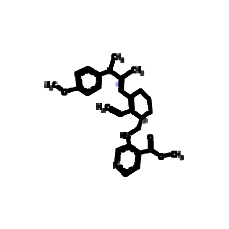 C=CC1=C(/C=C(\C)N(C)c2ccc(OC)cc2)CCC[C@H]1CNc1cnccc1C(=O)OC